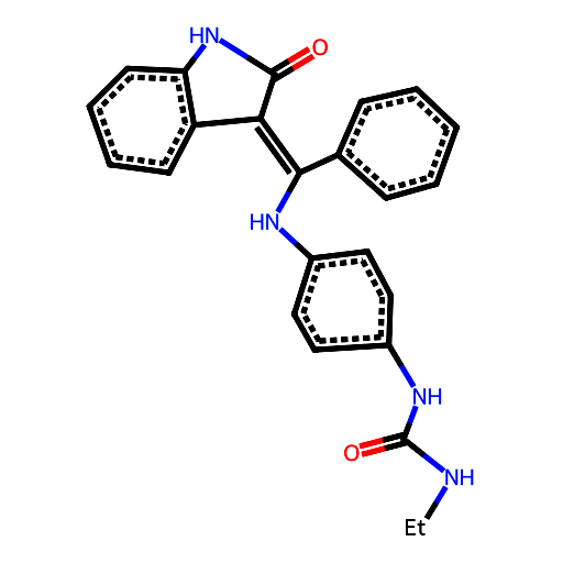 CCNC(=O)Nc1ccc(NC(=C2C(=O)Nc3ccccc32)c2ccccc2)cc1